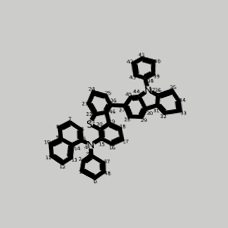 c1ccc(N(c2cccc3ccccc23)c2cccc3c2sc2cccc(-c4ccc5c6ccccc6n(-c6ccccc6)c5c4)c23)cc1